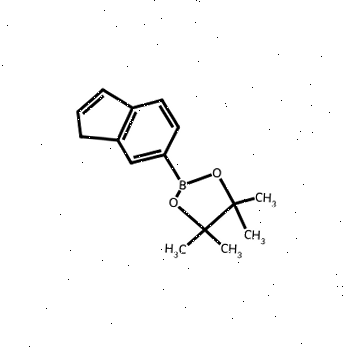 CC1(C)OB(c2ccc3c(c2)CC=C3)OC1(C)C